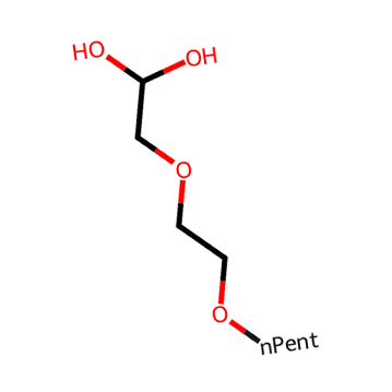 CCCCCOCCOCC(O)O